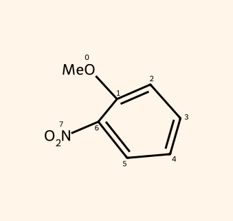 [CH2]Oc1ccccc1[N+](=O)[O-]